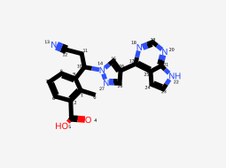 Cc1c(C(=O)O)cccc1C(CC#N)n1cc(-c2ncnc3[nH]ccc23)cn1